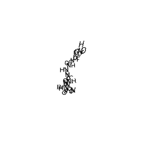 CCc1cc(Nc2ncc(Br)c(Nc3ccc4nc(C)ccc4c3P(C)(C)=O)n2)c(OC)cc1N1CCC(NCCNC(=O)C2CCN(c3cc(F)c(C4CCC(=O)NC4=O)c(F)c3)CC2)CC1